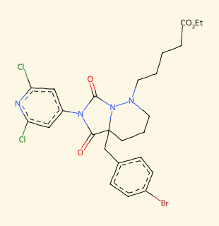 CCOC(=O)CCCCN1CCCC2(Cc3ccc(Br)cc3)C(=O)N(c3cc(Cl)nc(Cl)c3)C(=O)N12